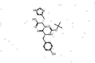 CC(C)(C)OC(=O)N[C@@H](Cc1ccc(O)cc1)C(=O)N[C@@H](Cc1c[nH]cn1)C(=O)O